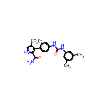 CCOC(=O)c1c[nH]c(C(N)=O)c1-c1ccc(NC(=O)Nc2cc(C)cc(C)c2)cc1